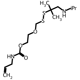 C=CCNC(=O)OCCOCSSC(C)(C)CNC(C)C